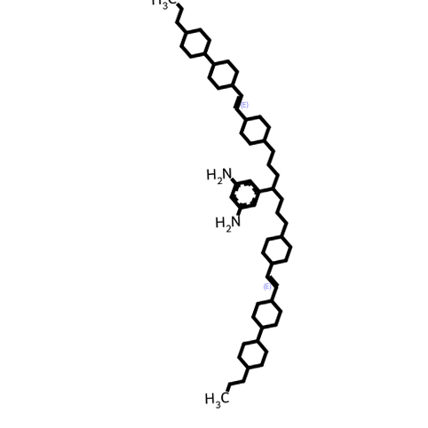 CCCC1CCC(C2CCC(/C=C/C3CCC(CCCC(CCCC4CCC(/C=C/C5CCC(C6CCC(CCC)CC6)CC5)CC4)c4cc(N)cc(N)c4)CC3)CC2)CC1